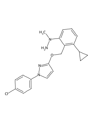 CN(N)c1cccc(C2CC2)c1COc1ccn(-c2ccc(Cl)cc2)n1